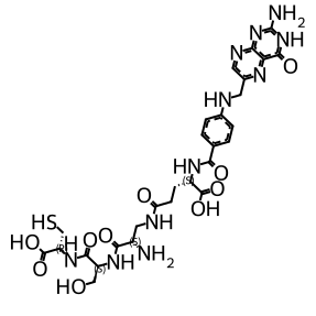 Nc1nc2ncc(CNc3ccc(C(=O)N[C@@H](CCC(=O)NC[C@H](N)C(=O)N[C@@H](CO)C(=O)N[C@@H](CS)C(=O)O)C(=O)O)cc3)nc2c(=O)[nH]1